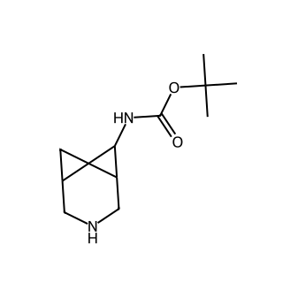 CC(C)(C)OC(=O)NC1C2CNCC3CC321